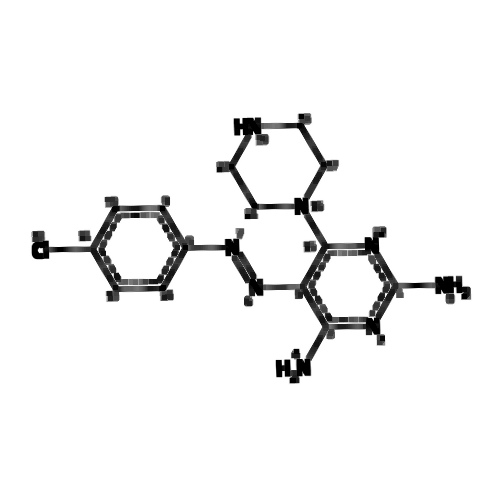 Nc1nc(N)c(N=Nc2ccc(Cl)cc2)c(N2CCNCC2)n1